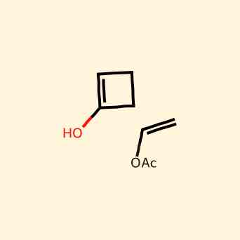 C=COC(C)=O.OC1=CCC1